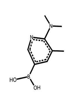 Cc1cc(B(O)O)cnc1N(C)C